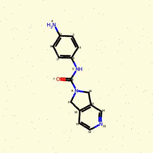 Nc1ccc(NC(=O)N2Cc3ccncc3C2)cc1